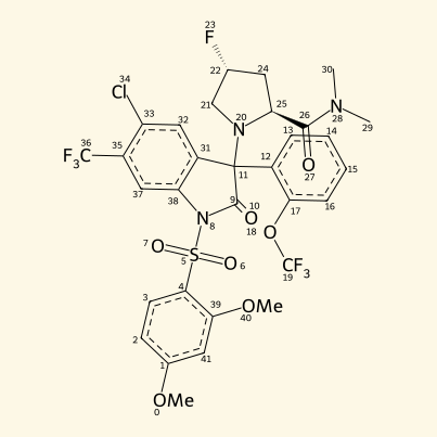 COc1ccc(S(=O)(=O)N2C(=O)C(c3ccccc3OC(F)(F)F)(N3C[C@H](F)C[C@H]3C(=O)N(C)C)c3cc(Cl)c(C(F)(F)F)cc32)c(OC)c1